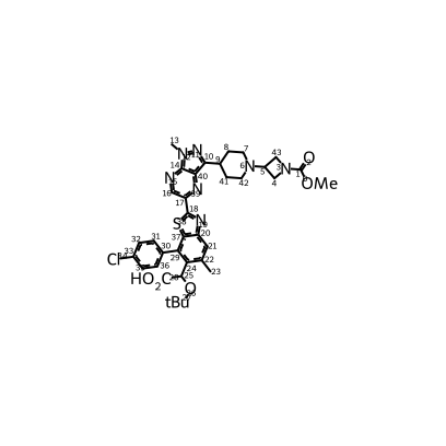 COC(=O)N1CC(N2CCC(c3nn(C)c4ncc(-c5nc6cc(C)c(C(OC(C)(C)C)C(=O)O)c(-c7ccc(Cl)cc7)c6s5)nc34)CC2)C1